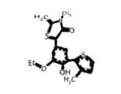 C=C1SC(c2cc(OCC)c(O)c(-c3sccc3C)c2)C(=O)N1C